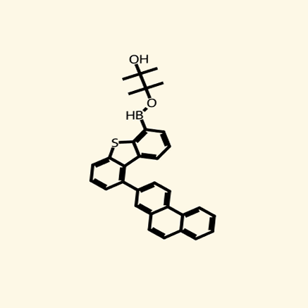 CC(C)(O)C(C)(C)OBc1cccc2c1sc1cccc(-c3ccc4c(ccc5ccccc54)c3)c12